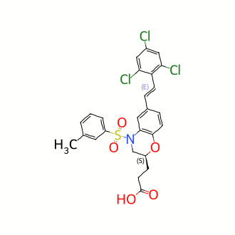 Cc1cccc(S(=O)(=O)N2C[C@H](CCC(=O)O)Oc3ccc(/C=C/c4c(Cl)cc(Cl)cc4Cl)cc32)c1